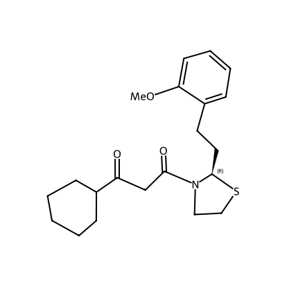 COc1ccccc1CC[C@H]1SCCN1C(=O)CC(=O)C1CCCCC1